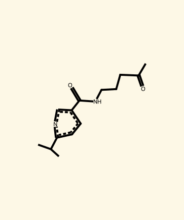 CC(=O)CCCNC(=O)c1ccc(C(C)C)nc1